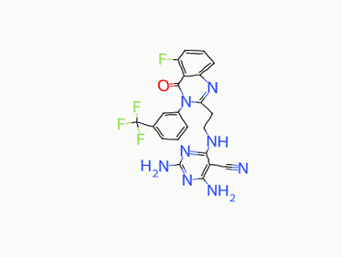 N#Cc1c(N)nc(N)nc1NCCc1nc2cccc(F)c2c(=O)n1-c1cccc(C(F)(F)F)c1